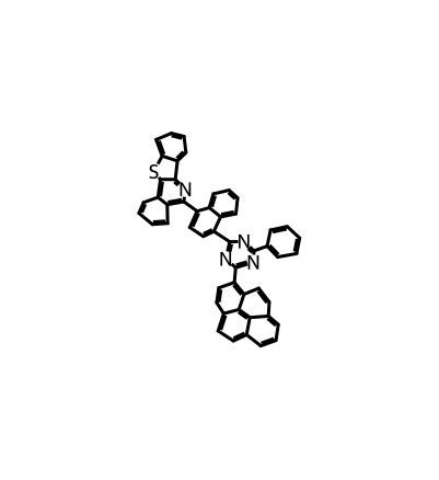 c1ccc(-c2nc(-c3ccc(-c4nc5c6ccccc6sc5c5ccccc45)c4ccccc34)nc(-c3ccc4ccc5cccc6ccc3c4c56)n2)cc1